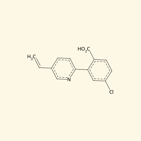 C=Cc1ccc(-c2cc(Cl)ccc2C(=O)O)nc1